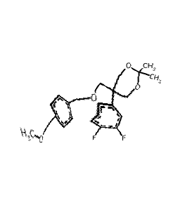 COc1ccc(COCC2(c3ccc(F)c(F)c3)COC(C)(C)OC2)cc1